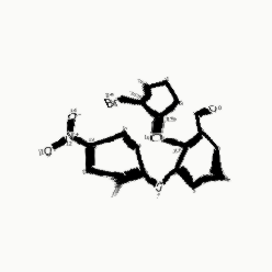 O=Cc1cccc(Oc2ccc([N+](=O)[O-])cc2)c1OC1CCCC1Br